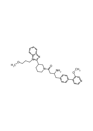 COCCCn1c(C2CCCN(C(=O)CC(N)Cc3ccc(-c4ccncc4OC)cc3)C2)nc2ccccc21